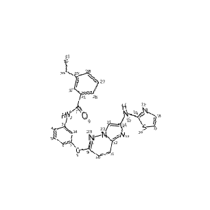 O=C(Nc1cccc(Oc2ccc3nc(Nc4nccs4)cn3n2)c1)c1cccc(CF)c1